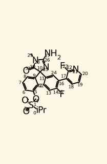 CC(C)S(=O)(=O)Oc1cccc(C2(c3ccc(F)c(-c4cccnc4F)c3)N=C(N)N(C)C2=O)c1